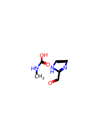 CNC(=O)O.O=Cc1ncc[nH]1